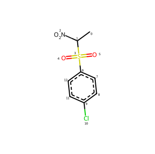 CC([N+](=O)[O-])S(=O)(=O)c1ccc(Cl)cc1